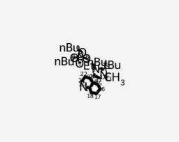 CCCCOP(=O)(OCCCC)OCCCC.CCN1C=CN(C)C1C(C)(C)C.c1ccc2ncccc2c1